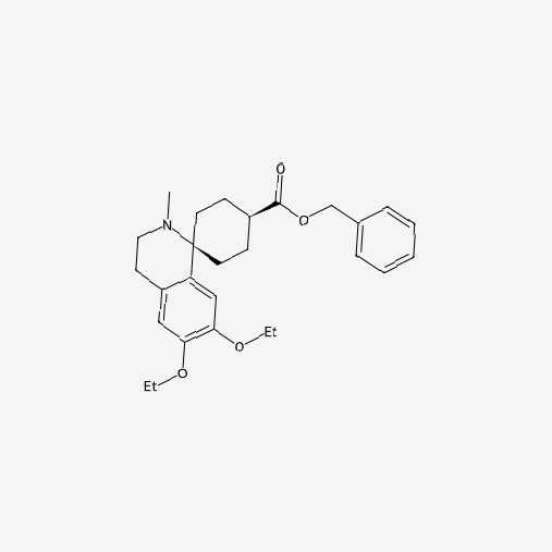 CCOc1cc2c(cc1OCC)[C@]1(CC[C@H](C(=O)OCc3ccccc3)CC1)N(C)CC2